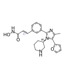 Cc1nc(-c2cccc(/C=C/C(=O)NO)c2)n([C@@H]2CCCNC2)c1-c1ccco1